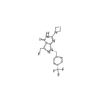 O=c1[nH]c(N2CCC2)nc2c1c(CF)nn2Cc1ccc(C(F)(F)F)cc1